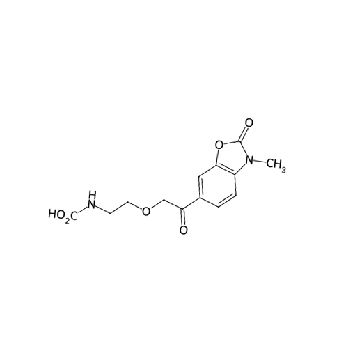 Cn1c(=O)oc2cc(C(=O)COCCNC(=O)O)ccc21